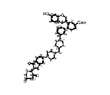 COc1cccc(C2COc3cc(O)ccc3[C@H]2c2ccc(N3CCC(CN4CCN(c5ccc6c(c5)CN(C5CCC(=O)NC5=O)C6=O)CC4)CC3)cc2)c1